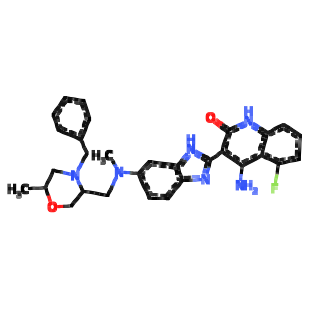 CC1CN(Cc2ccccc2)C(CN(C)c2ccc3nc(-c4c(N)c5c(F)cccc5[nH]c4=O)[nH]c3c2)CO1